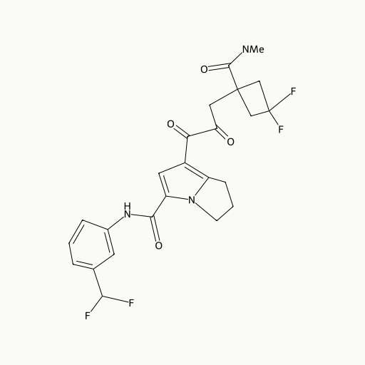 CNC(=O)C1(CC(=O)C(=O)c2cc(C(=O)Nc3cccc(C(F)F)c3)n3c2CCC3)CC(F)(F)C1